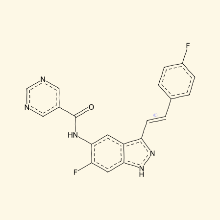 O=C(Nc1cc2c(/C=C/c3ccc(F)cc3)n[nH]c2cc1F)c1cncnc1